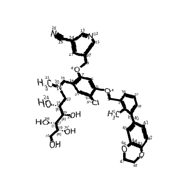 Cc1c(COc2cc(OCc3cncc(C#N)c3)c(CN(C)C[C@@H](O)[C@@H](O)[C@@H](O)[C@H](O)CO)cc2Cl)cccc1-c1ccc2c(c1)OCCO2